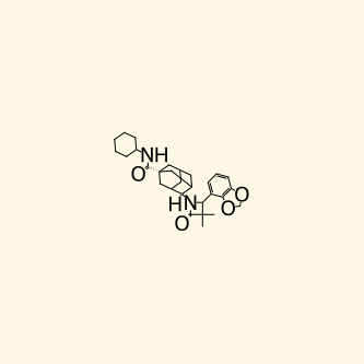 CC1(C)C(=O)N([C@H]2C3CC4CC2C[C@](C(=O)NC2CCCCC2)(C4)C3)C1c1cccc2c1OCO2